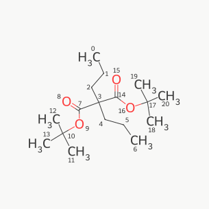 CCCC(CCC)(C(=O)OC(C)(C)C)C(=O)OC(C)(C)C